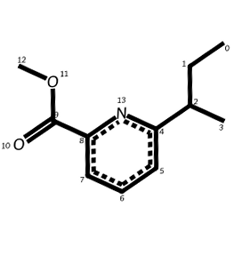 CCC(C)c1cccc(C(=O)OC)n1